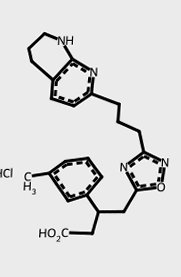 Cc1cccc(C(CC(=O)O)Cc2nc(CCCc3ccc4c(n3)NCCC4)no2)c1.Cl